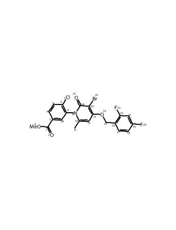 COC(=O)c1ccc(Cl)c(-n2c(C)cc(OCc3ccc(F)cc3F)c(Br)c2=O)c1